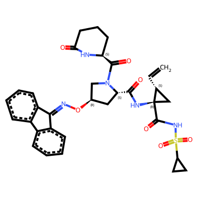 C=C[C@@H]1C[C@]1(NC(=O)[C@@H]1C[C@@H](ON=C2c3ccccc3-c3ccccc32)CN1C(=O)[C@@H]1CCCC(=O)N1)C(=O)NS(=O)(=O)C1CC1